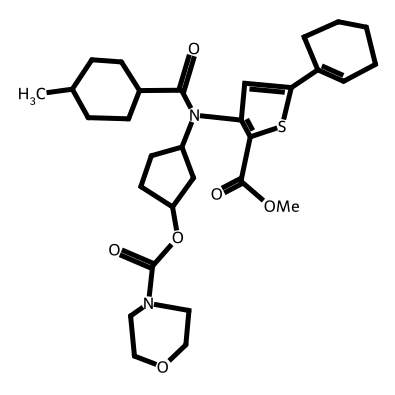 COC(=O)c1sc(C2=CCCCC2)cc1N(C(=O)C1CCC(C)CC1)C1CCC(OC(=O)N2CCOCC2)C1